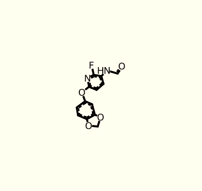 O=CNc1ccc(Oc2ccc3c(c2)OCO3)nc1F